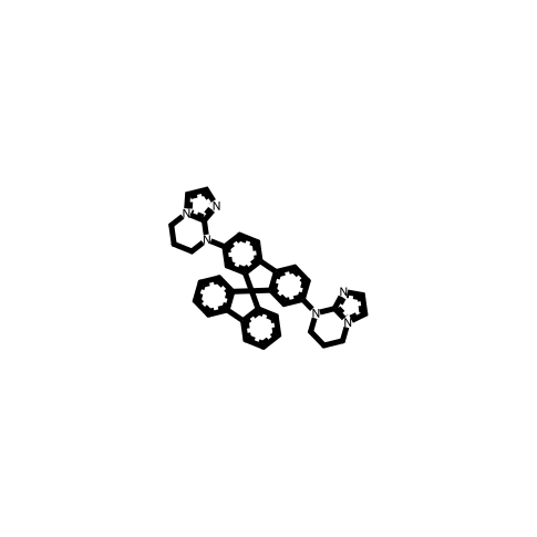 c1ccc2c(c1)-c1ccccc1C21c2cc(N3CCCn4ccnc43)ccc2-c2ccc(N3CCCn4ccnc43)cc21